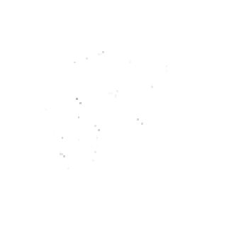 C=Cc1ccc2c(n1)N(C(=C)Nc1ncccc1C)[C@H]1CCN2C1